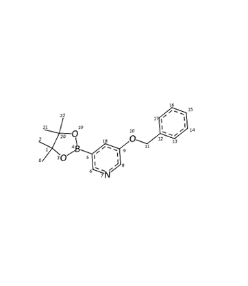 CC1(C)OB(c2cncc(OCc3ccccc3)c2)OC1(C)C